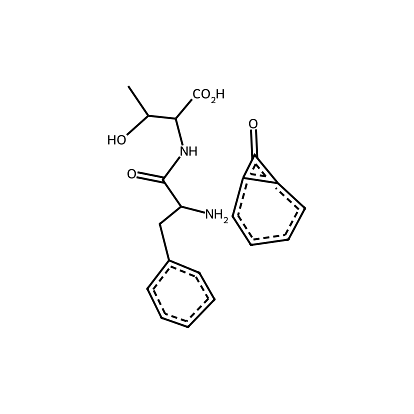 CC(O)C(NC(=O)C(N)Cc1ccccc1)C(=O)O.O=c1c2ccccc12